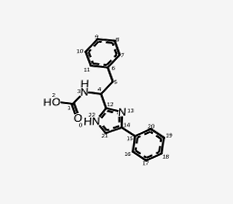 O=C(O)NC(Cc1ccccc1)c1nc(-c2ccccc2)c[nH]1